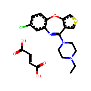 CCN1CCN(C2=Nc3cc(Cl)ccc3Oc3cscc32)CC1.O=C(O)/C=C/C(=O)O